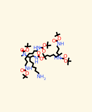 CN(C(=O)OC(C)(C)C)C(CCCCNC(=O)OC(C)(C)C)(CCCNC(=O)OC(C)(C)C)C(CCCCCCN)CNC(=O)OC(C)(C)CCCCC(C)(CCCNC(=O)OC(C)(C)C)NC(=O)OC(C)(C)C